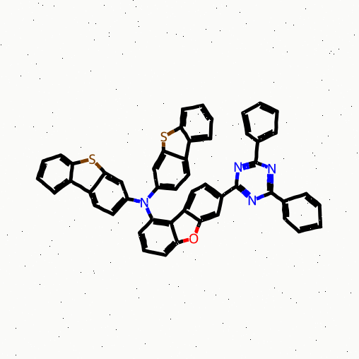 c1ccc(-c2nc(-c3ccccc3)nc(-c3ccc4c(c3)oc3cccc(N(c5ccc6c(c5)sc5ccccc56)c5ccc6c(c5)sc5ccccc56)c34)n2)cc1